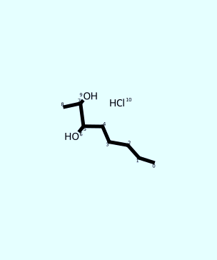 CCCCCC(O)C(C)O.Cl